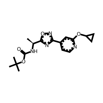 C[C@H](NC(=O)OC(C)(C)C)c1nc(-c2ccnc(OC3CC3)c2)no1